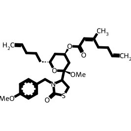 C=CCCC[C@@H]1C[C@@H](OC(=O)C=C(C)CCC=C)C[C@](OC)(C2CSC(=O)N2Cc2ccc(OC)cc2)O1